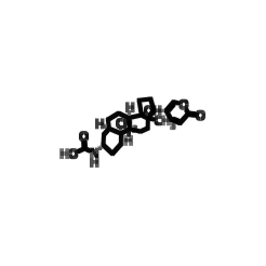 CC12CC[C@H]3[C@@H](CC[C@@H]4C[C@@H](NC(=O)O)CC[C@@]43C)C1(O)CC[C@@H]2c1ccc(=O)oc1